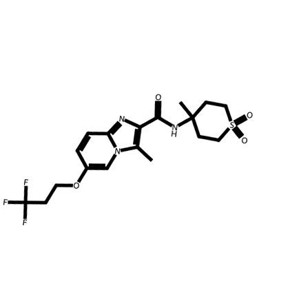 Cc1c(C(=O)NC2(C)CCS(=O)(=O)CC2)nc2ccc(OCCC(F)(F)F)cn12